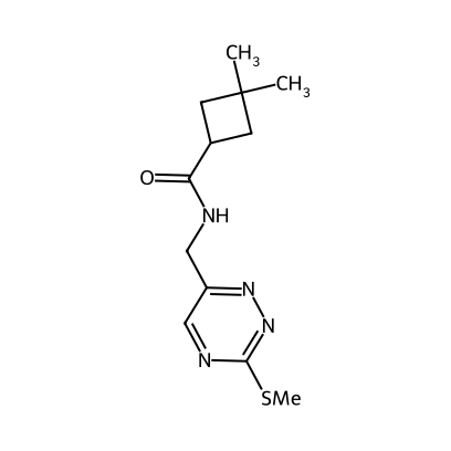 CSc1ncc(CNC(=O)C2CC(C)(C)C2)nn1